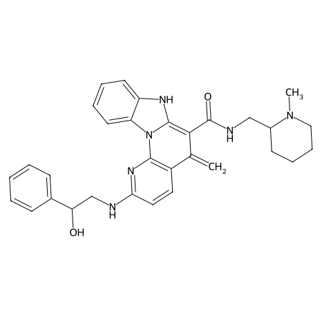 C=C1C(C(=O)NCC2CCCCN2C)=C2Nc3ccccc3N2c2nc(NCC(O)c3ccccc3)ccc21